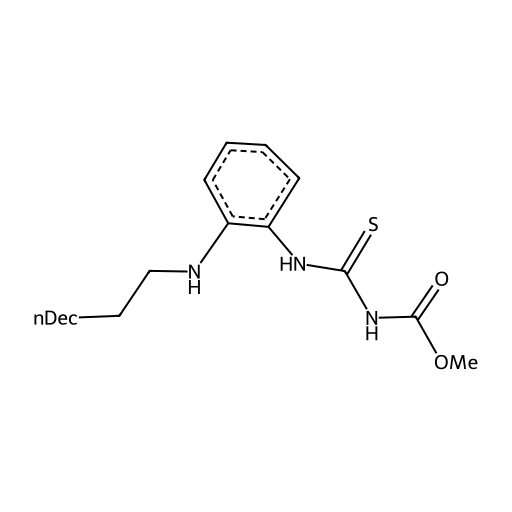 CCCCCCCCCCCCNc1ccccc1NC(=S)NC(=O)OC